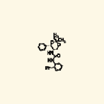 CC(C)c1ccccc1NC(=O)N[C@H]1COC(C)(C)O[C@H]1c1ccccc1